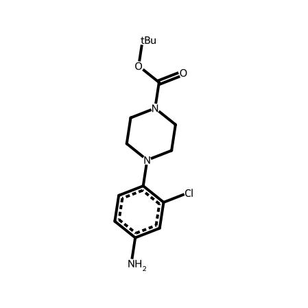 CC(C)(C)OC(=O)N1CCN(c2ccc(N)cc2Cl)CC1